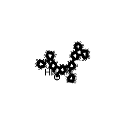 O=c1[nH]c2cc3c(cc2c2cc4c5cc(-c6ccc7c8ccccc8c8ccccc8c7c6)ccc5n(-c5ccccc5)c4cc12)c1ccccc1n3-c1ccccc1